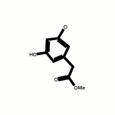 COC(=O)Cc1cc(O)cc(Cl)c1